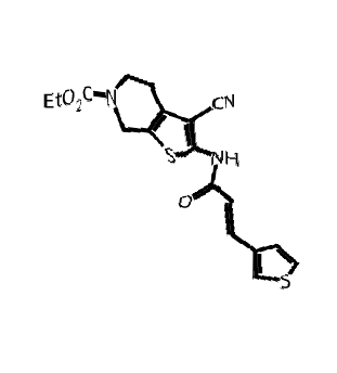 CCOC(=O)N1CCc2c(sc(NC(=O)C=Cc3ccsc3)c2C#N)C1